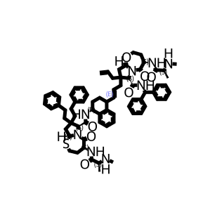 C=CCC1(C/C=C/C2CC[C@@H](NC(=O)[C@H]3N4C(=O)[C@@H](NC(=O)[C@H](C)NC)CCS[C@H]4CC3(CCc3ccccc3)CCc3ccccc3)c3ccccc32)C[C@@H]2OCC[C@H](NC(=O)[C@H](C)NC)C(=O)N2[C@@H]1C(=O)NC(c1ccccc1)c1ccccc1